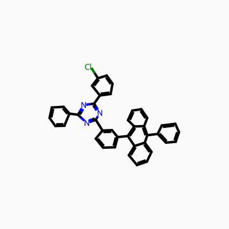 Clc1cccc(-c2nc(-c3ccccc3)nc(-c3cccc(-c4c5ccccc5c(-c5ccccc5)c5ccccc45)c3)n2)c1